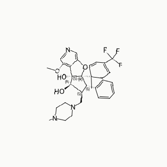 COc1cncc2c1[C@]1(O)[C@H](O)[C@H](CN3CCN(C)CC3)[C@@H](c3ccccc3)[C@]1(C1(C)C=CC(C(F)(F)F)=CC1)O2